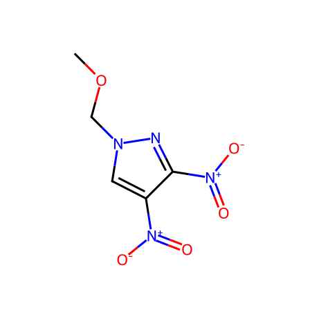 COCn1cc([N+](=O)[O-])c([N+](=O)[O-])n1